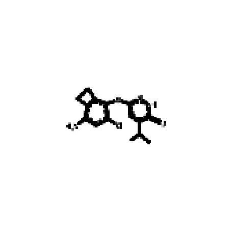 CC(C)c1cc(Oc2c(Cl)cc(N)c3c2CC3)n[nH]c1=O